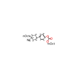 CCCCCCCCOC(=O)Oc1ccc(C2CCC(C#N)(CCCCCCCC)CC2)cc1